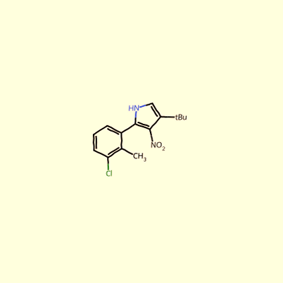 Cc1c(Cl)cccc1-c1[nH]cc(C(C)(C)C)c1[N+](=O)[O-]